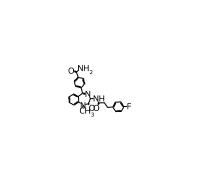 CN1C(=O)C(NC(=O)CCc2ccc(F)cc2)N=C(c2ccc(C(N)=O)cc2)c2ccccc21